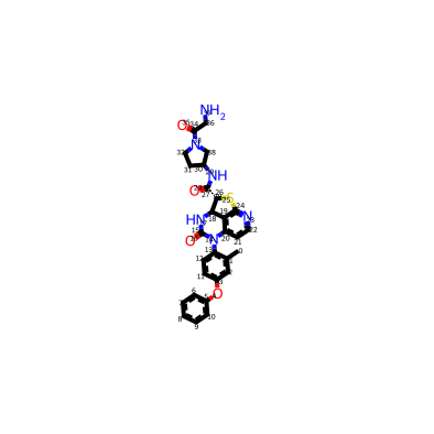 Cc1cc(Oc2ccccc2)ccc1N1C(=O)NC2c3c1ccnc3S[C@H]2C(=O)NC1CCN(C(=O)CN)C1